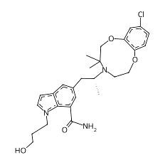 C[C@H](Cc1cc(C(N)=O)c2c(ccn2CCCO)c1)N1CCOc2ccc(Cl)cc2OCC1(C)C